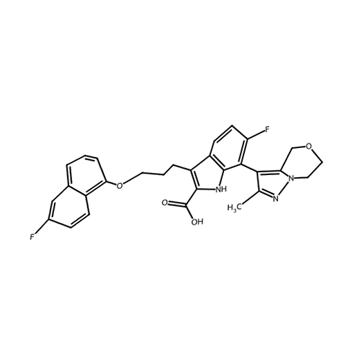 Cc1nn2c(c1-c1c(F)ccc3c(CCCOc4cccc5cc(F)ccc45)c(C(=O)O)[nH]c13)COCC2